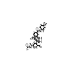 C=Cc1ccc(C(C)NC(C)=O)cc1NC(=S)Nc1cc(C(=O)Nc2ccc(Br)cc2)ccc1NC